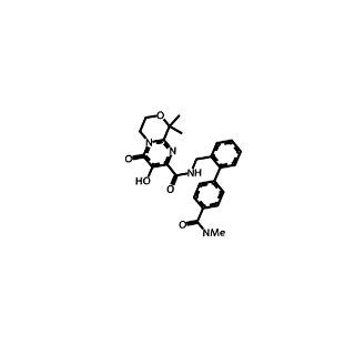 CNC(=O)c1ccc(-c2ccccc2CNC(=O)c2nc3n(c(=O)c2O)CCOC3(C)C)cc1